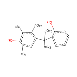 CCCCCCCCc1c(C(CCCCCCCC)(CCCCCCCC)c2ccccc2O)cc(C(C)(C)C)c(O)c1C(C)(C)C